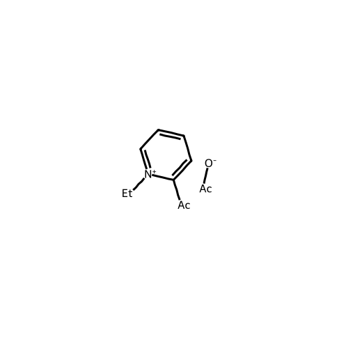 CC(=O)[O-].CC[n+]1ccccc1C(C)=O